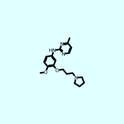 COc1ccc(Nc2nccc(C)n2)cc1OCCCN1CCCC1